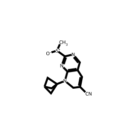 C[S+]([O-])c1ncc2c(n1)N(C13CC(C1)C3)CC(C#N)=C2